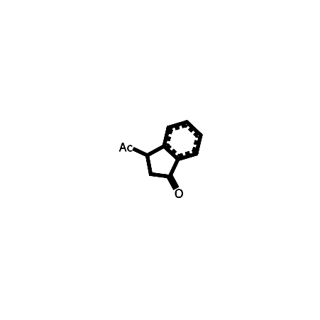 CC(=O)C1CC(=O)c2ccccc21